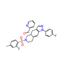 Cc1ccc(S(=O)(=O)N2CCC3=Cc4c(cnn4-c4ccc(F)cc4)C[C@]3(C(=O)c3ccccn3)C2)c(F)c1